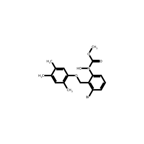 COC(=O)N(O)c1cccc(Br)c1COc1cc(C)c(C)cc1C